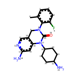 Cc1cccc(F)c1N1Cc2cnc(N)cc2N(C2CCC(N)CC2)C1=O